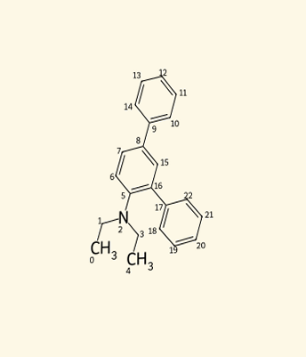 CCN(CC)c1ccc(-c2ccccc2)cc1-c1ccccc1